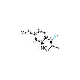 COc1ccc(C(F)=C(C)C)c([N+](=O)[O-])c1